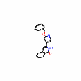 O=c1[nH]c(-c2ccnc(OCc3ccccc3)c2)cc2ccccc12